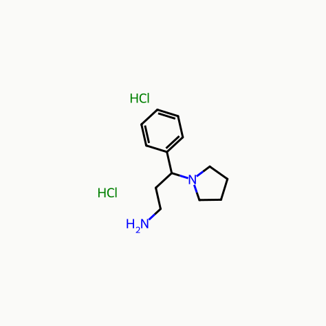 Cl.Cl.NCCC(c1ccccc1)N1CCCC1